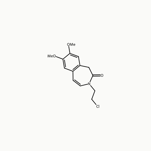 COc1cc2c(cc1OC)CC(=O)N(CCCl)C=C2